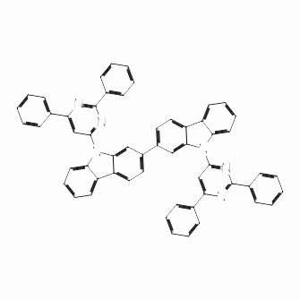 c1ccc(-c2cc(-n3c4ccccc4c4ccc(-c5ccc6c7ccccc7n(-c7cc(-c8ccccc8)nc(-c8ccccc8)n7)c6c5)cc43)nc(-c3ccccc3)n2)cc1